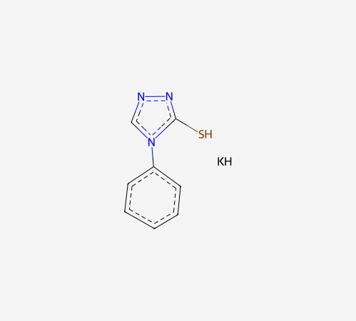 Sc1nncn1-c1ccccc1.[KH]